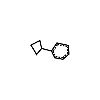 [CH]1CCC1c1ccccc1